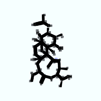 C=C1O[C@H]([C@@H](C)O)[C@H](C)/C=C(\C)[C@]23O[C@@H]4[C@H](C=C[C@@H]2C[C@@H]1OC)[C@H]3[C@H](O)[C@@H](C)[C@H]4OC(C)=O